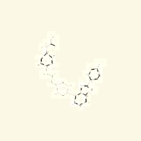 CCc1ccc(-c2nc3c(N4CCN(CCOc5ccc(NC(=O)C(F)(F)F)cc5)CC4)cccc3[nH]2)cc1